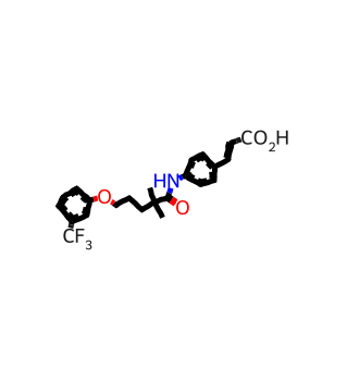 CC(C)(CCCOc1cccc(C(F)(F)F)c1)C(=O)Nc1ccc(/C=C/C(=O)O)cc1